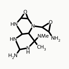 CNC1(C)NC(N)NC2NC3OC3N(C3OC3N)C21